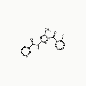 Cc1cc(NC(=O)c2cccnc2)nn1C(=O)c1ccccc1Cl